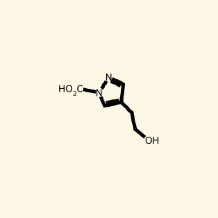 O=C(O)n1cc(CCO)cn1